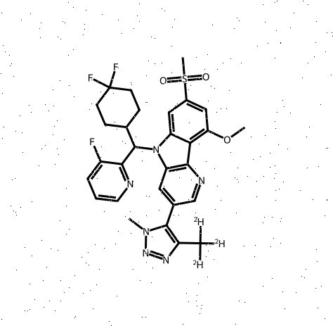 [2H]C([2H])([2H])c1nnn(C)c1-c1cnc2c3c(OC)cc(S(C)(=O)=O)cc3n(C(c3ncccc3F)C3CCC(F)(F)CC3)c2c1